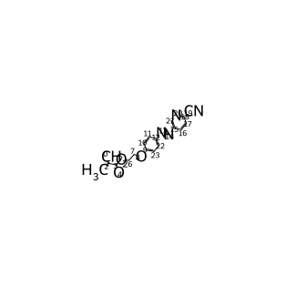 C=C(C)C(=O)OCCOc1ccc(/N=N/c2ccc(C#N)nc2)cc1